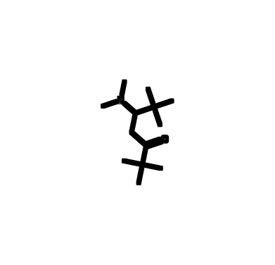 CN(C)C(CC(=O)C(C)(C)C)C(C)(C)C